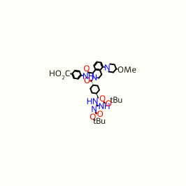 COC1CCN(c2cccc3c2CCN(C(=O)[C@H]2CC[C@H](CN/C(=N/C(=O)OC(C)(C)C)NC(=O)OC(C)(C)C)CC2)C3C(=O)Nc2ccc(C(=O)O)cc2)CC1